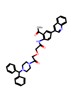 COC(=O)c1cc(-c2cnc3ccccc3c2)ccc1NC(=O)COCC(=O)N1CCN(C(c2ccccc2)c2ccccc2)CC1